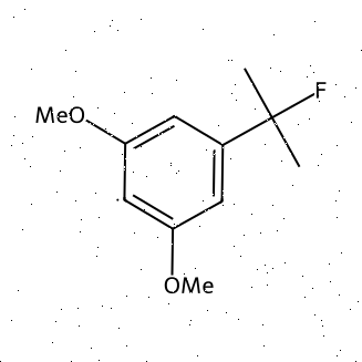 COc1[c]c(OC)cc(C(C)(C)F)c1